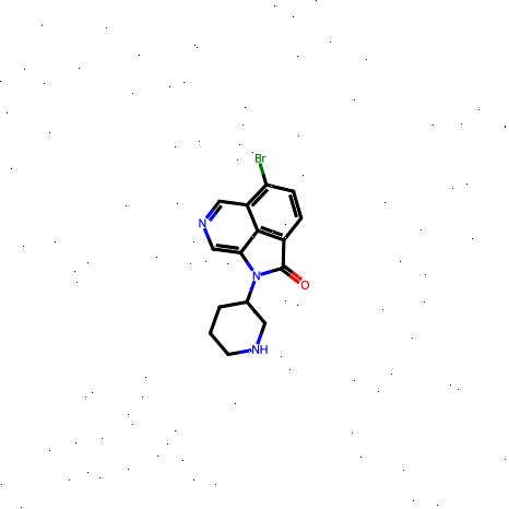 O=C1c2ccc(Br)c3cncc(c23)N1C1CCCNC1